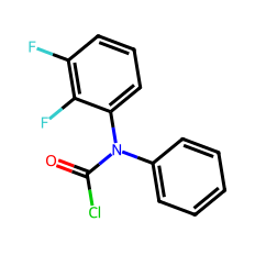 O=C(Cl)N(c1ccccc1)c1cccc(F)c1F